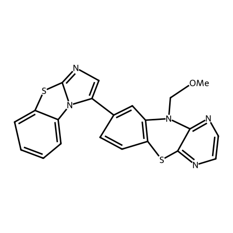 COCN1c2cc(-c3cnc4sc5ccccc5n34)ccc2Sc2nccnc21